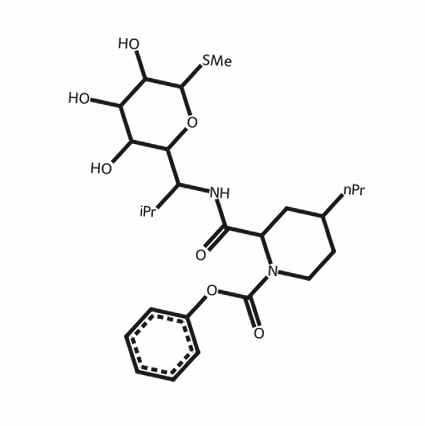 CCCC1CCN(C(=O)Oc2ccccc2)C(C(=O)NC(C(C)C)C2OC(SC)C(O)C(O)C2O)C1